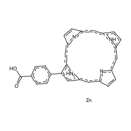 O=C(O)c1ccc(-c2cc3cc4nc(cc5ccc(cc6nc(cc2[nH]3)C=C6)[nH]5)C=C4)cc1.[Zn]